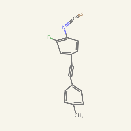 Cc1ccc(C#Cc2ccc(N=C=S)c(F)c2)cc1